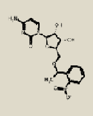 CC(OC[C@H]1O[C@@H](n2ccc(N)nc2=O)[C@H](O)[C@@H]1O)c1ccccc1[N+](=O)[O-]